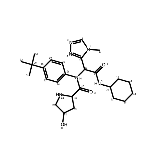 Cn1cnnc1C(C(=O)NC1CCCCC1)N(C(=O)C1CC(O)CN1)c1ccc(C(C)(C)C)cc1